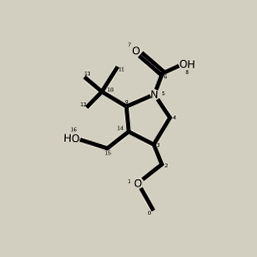 COCC1CN(C(=O)O)C(C(C)(C)C)C1CO